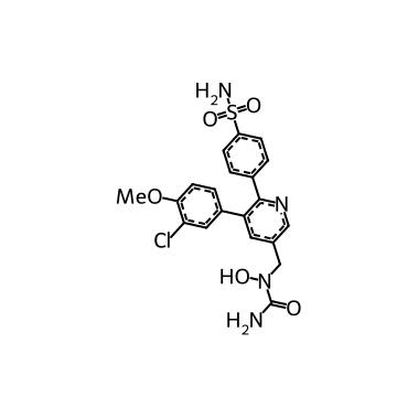 COc1ccc(-c2cc(CN(O)C(N)=O)cnc2-c2ccc(S(N)(=O)=O)cc2)cc1Cl